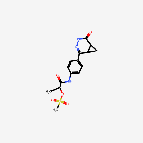 CC(OS(C)(=O)=O)C(=O)Nc1ccc(C2=NNC(=O)C3CC23)cc1